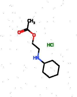 CC(=O)OCCNC1CCCCC1.Cl